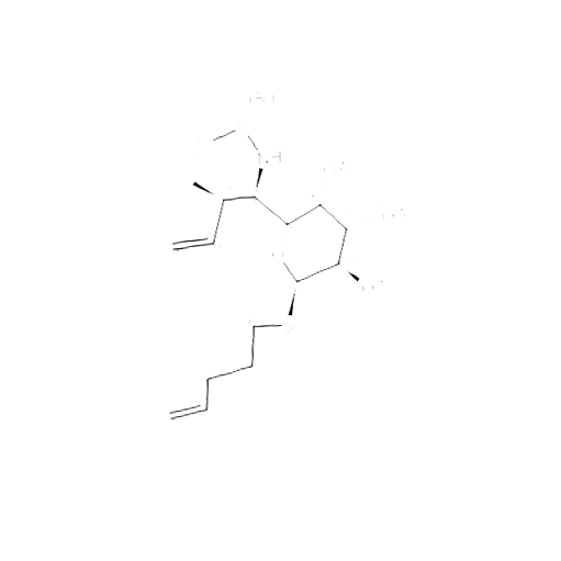 C=CCCCS[C@H]1O[C@H]([C@H](N[S@+]([O-])C(C)(C)C)[C@H](C)C=C)[C@H](OC(C)=O)[C@H](OC(C)=O)[C@H]1OC(C)=O